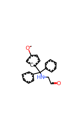 COc1ccc(C(NCC=O)(c2ccccc2)c2ccccc2)cc1